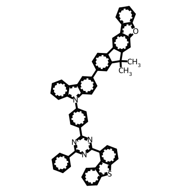 CC1(C)c2cc(-c3ccc4c(c3)c3ccccc3n4-c3ccc(-c4nc(-c5ccccc5)nc(-c5cccc6sc7ccccc7c56)n4)cc3)ccc2-c2cc3c(cc21)oc1ccccc13